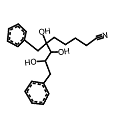 N#CCCCCC(O)(Cc1ccccc1)C(O)C(O)Cc1ccccc1